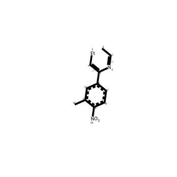 C/C=N\C(=C/CC)c1ccc([N+](=O)[O-])c(C)c1